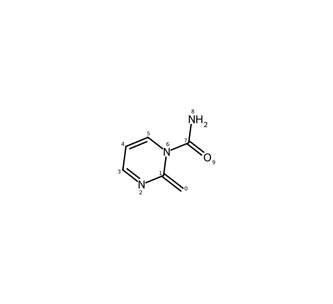 C=C1N=CC=CN1C(N)=O